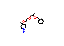 CC(COCCOC1(C)CCNCC1)OCc1ccccc1